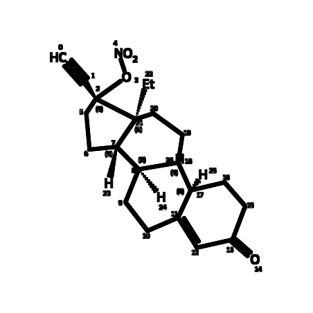 C#C[C@]1(O[N+](=O)[O-])CC[C@H]2[C@@H]3CCC4=CC(=O)CC[C@@H]4[C@H]3CC[C@@]21CC